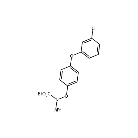 CCCN(Oc1ccc(Oc2cccc(Cl)c2)cc1)C(=O)OCC